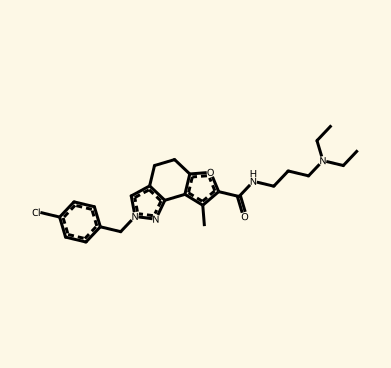 CCN(CC)CCCNC(=O)c1oc2c(c1C)-c1nn(Cc3ccc(Cl)cc3)cc1CC2